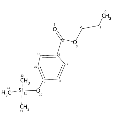 CCCOC(=O)c1ccc(O[Si](C)(C)C)cc1